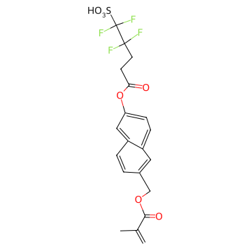 C=C(C)C(=O)OCc1ccc2cc(OC(=O)CCC(F)(F)C(F)(F)S(=O)(=O)O)ccc2c1